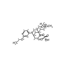 CCOc1cccc(C2CC(CC)C3(CCC(C)C)CC2CCN3OP(=O)(O)O)c1